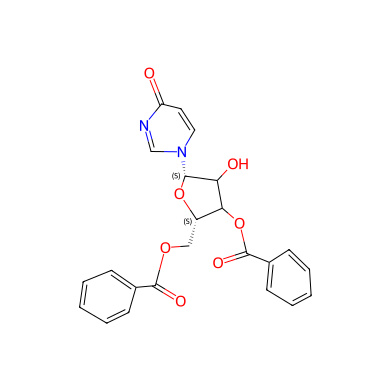 O=C(OC[C@@H]1O[C@H](n2ccc(=O)nc2)C(O)C1OC(=O)c1ccccc1)c1ccccc1